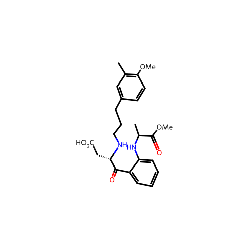 COC(=O)C(C)Nc1ccccc1C(=O)[C@H](CC(=O)O)NCCCc1ccc(OC)c(C)c1